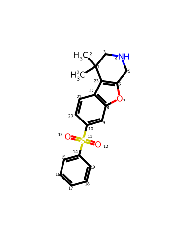 CC1(C)CNCc2oc3cc(S(=O)(=O)c4ccccc4)ccc3c21